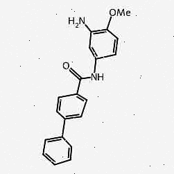 COc1ccc(NC(=O)c2ccc(-c3ccccc3)cc2)cc1N